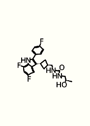 C[C@@H](O)CNC(=O)NC[C@H]1C[C@H](c2c(-c3ccc(F)cc3)[nH]c3c(F)cc(F)cc32)C1